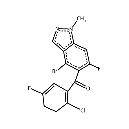 Cn1ncc2c(Br)c(C(=O)C3=C(Cl)CCC(F)=C3)c(F)cc21